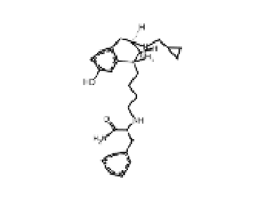 C[C@H]1[C@H]2Cc3ccc(O)cc3[C@@]1(CCCCN[C@@H](Cc1ccccc1)C(N)=O)CN2CC1CC1